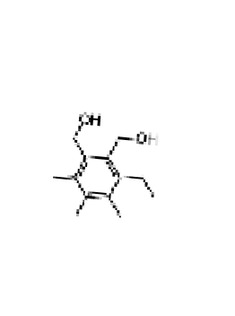 CCc1c(C)c(C)c(C)c(CO)c1CO